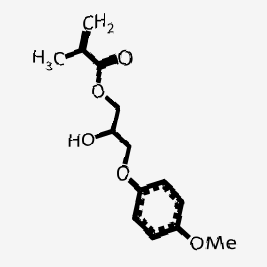 C=C(C)C(=O)OCC(O)COc1ccc(OC)cc1